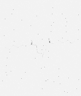 CCCCN(CCC(=O)OCCCCO)CCC(=O)OCCCCO